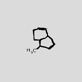 CC1CCCC2[C]=CCCC12